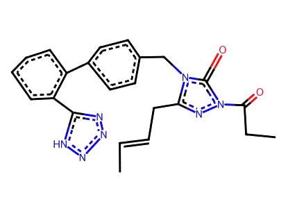 CC=CCc1nn(C(=O)CC)c(=O)n1Cc1ccc(-c2ccccc2-c2nnn[nH]2)cc1